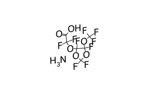 N.O=C(O)C(F)(F)OC1(F)OC(F)(F)OC1(F)OC(F)(F)F